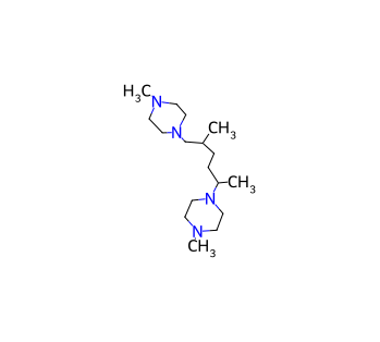 CC(CCC(C)N1CCN(C)CC1)CN1CCN(C)CC1